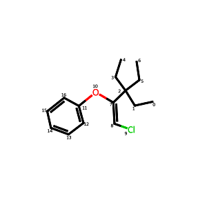 CCC(CC)(CC)C(=CCl)Oc1ccccc1